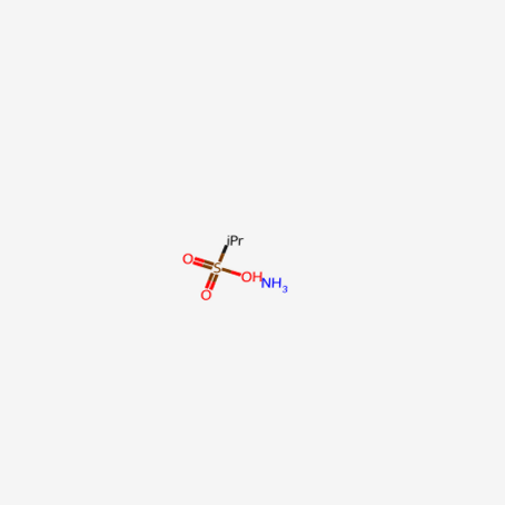 CC(C)S(=O)(=O)O.N